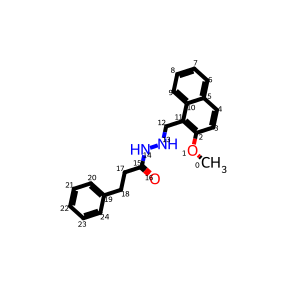 COc1ccc2ccccc2c1CNNC(=O)CCc1ccccc1